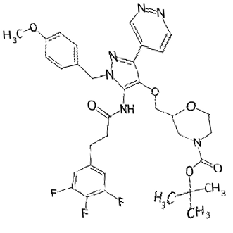 COc1ccc(Cn2nc(-c3ccnnc3)c(OCC3CN(C(=O)OC(C)(C)C)CCO3)c2NC(=O)CCc2cc(F)c(F)c(F)c2)cc1